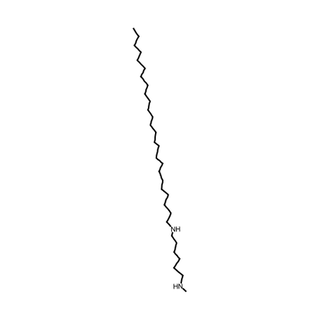 CCCCCCCCCCCCCCCCCCCCCCCCCNCCCCCCNC